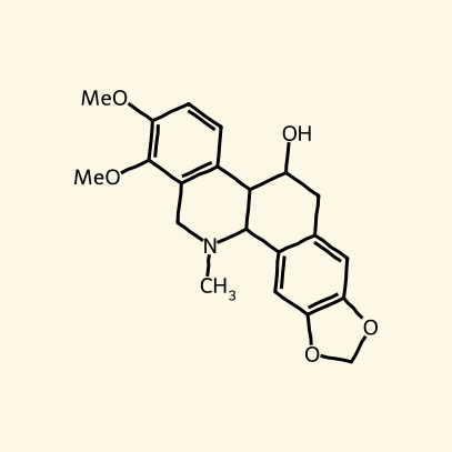 COc1ccc2c(c1OC)CN(C)C1c3cc4c(cc3CC(O)C21)OCO4